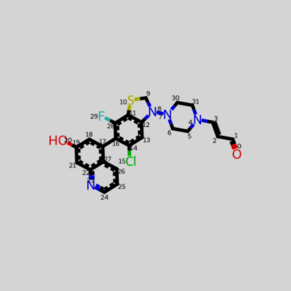 O=CC=CN1CCN(N2CSc3c2cc(Cl)c(-c2cc(O)cc4ncccc24)c3F)CC1